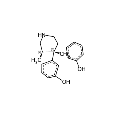 C[C@H]1CNCC[C@]1(C)c1cccc(O)c1.Oc1ccccc1